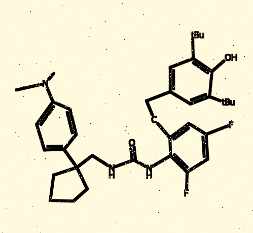 CN(C)c1ccc(C2(CNC(=O)Nc3c(F)cc(F)cc3CCc3cc(C(C)(C)C)c(O)c(C(C)(C)C)c3)CCCC2)cc1